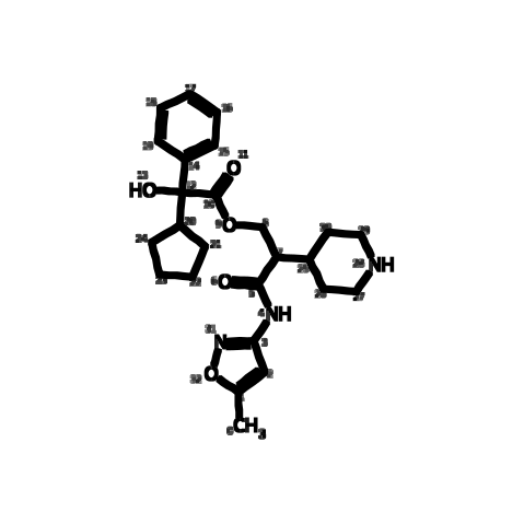 Cc1cc(NC(=O)C(COC(=O)C(O)(c2ccccc2)C2CCCC2)C2CCNCC2)no1